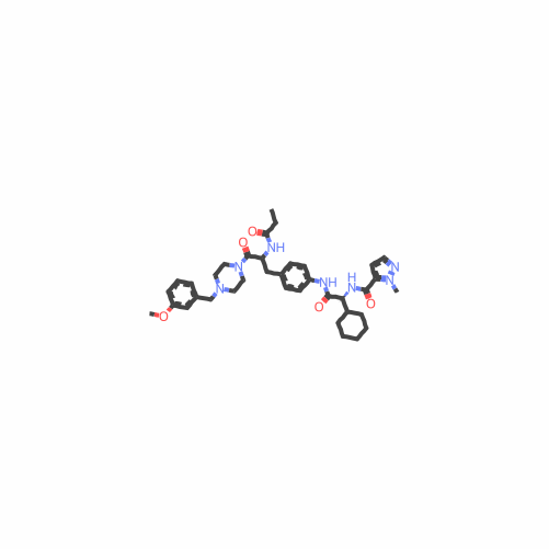 CCC(=O)NC(Cc1ccc(NC(=O)[C@@H](NC(=O)c2ccnn2C)C2CCCCC2)cc1)C(=O)N1CCN(Cc2cccc(OC)c2)CC1